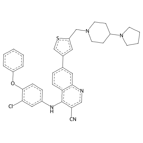 N#Cc1cnc2cc(-c3csc(CN4CCC(N5CCCC5)CC4)c3)ccc2c1Nc1ccc(Oc2ccccc2)c(Cl)c1